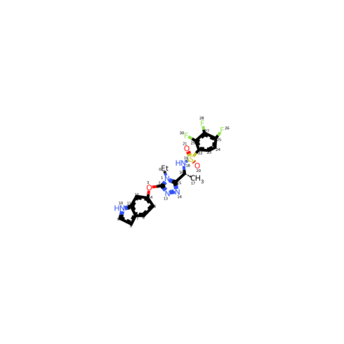 CCn1c(Oc2ccc3cc[nH]c3c2)nnc1[C@@H](C)NS(=O)(=O)c1ccc(F)c(F)c1F